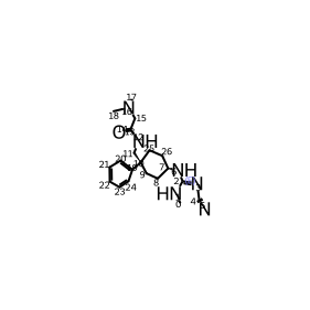 CN/C(=N\C#N)N[C@H]1CC[C@](CNC(=O)CN(C)C)(c2ccccc2)CC1